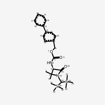 CC1(C)[C@@H](NC(=O)OCc2ccc(-c3ccccc3)cc2)C(=O)N1C([Si](C)(C)C)[Si](C)(C)C